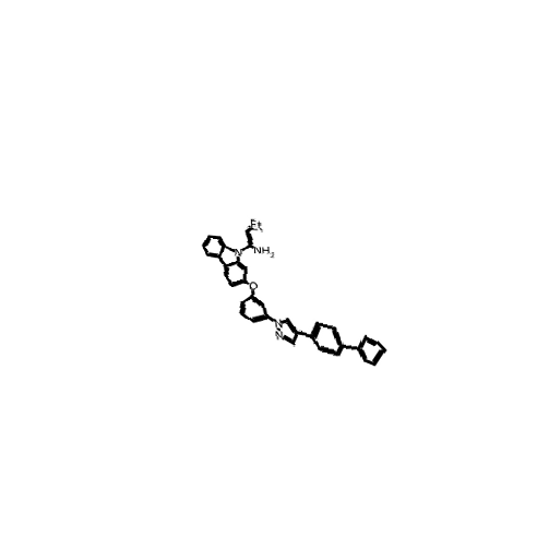 CC/C=C(\N)n1c2ccccc2c2ccc(Oc3cccc(-n4cc(-c5ccc(-c6ccccc6)cc5)cn4)c3)cc21